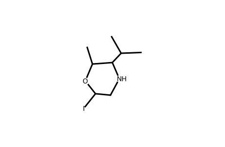 CC(C)C1NCC(I)OC1C